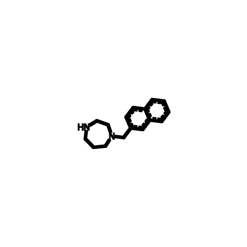 c1ccc2cc(CN3CCCNCC3)ccc2c1